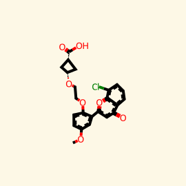 COc1ccc(OCCO[C@H]2C[C@@H](C(=O)O)C2)c(-c2cc(=O)c3cccc(Cl)c3o2)c1